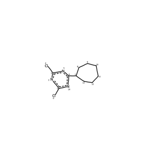 Clc1nc(Cl)nc(C2CCCCCC2)n1